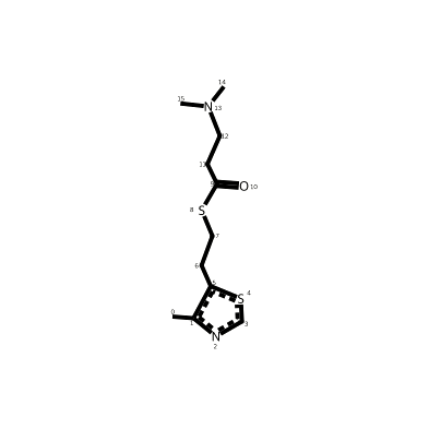 Cc1ncsc1CCSC(=O)CCN(C)C